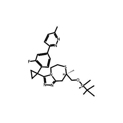 Cc1ccc(-c2ccc(C3(c4nnc5n4CCS[C@@](C)(CO[Si](C)(C)C(C)(C)C)C5)CC3)c(F)c2)nn1